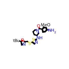 COc1cc(N)ccc1C(=O)N1CCCC(Nc2ncc(SCc3ncc(C(C)(C)C)o3)s2)C1